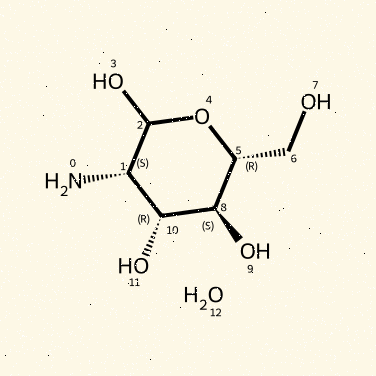 N[C@@H]1C(O)O[C@H](CO)[C@@H](O)[C@@H]1O.O